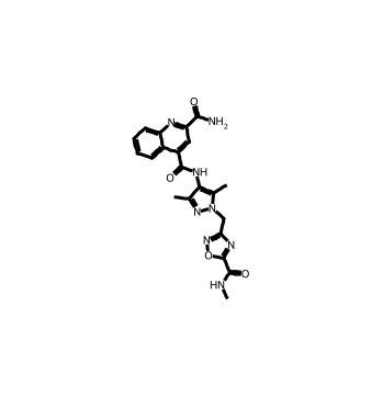 CNC(=O)c1nc(Cn2nc(C)c(NC(=O)c3cc(C(N)=O)nc4ccccc34)c2C)no1